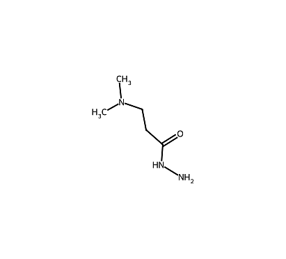 CN(C)CCC(=O)NN